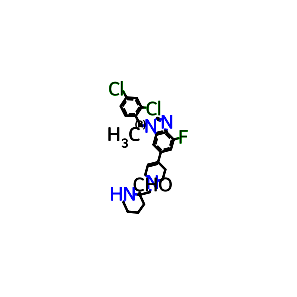 C[C@H](c1ccc(Cl)cc1Cl)n1cnc2c(F)cc(C3=CCN(CC4(C=O)CCCCN4)CC3)cc21